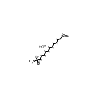 CCCCCCCCCCCCCCCCCCCCCC(N)(CC)CC.Cl